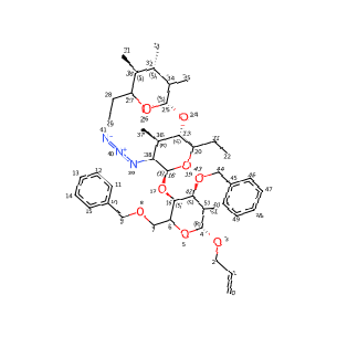 C=CCO[C@@H]1OC(COCc2ccccc2)[C@@H](O[C@@H]2OC(CC)[C@@H](O[C@@H]3OC(CC)[C@@H](C)[C@H](C)C3C)[C@H](C)C2N=[N+]=[N-])[C@@H](OCc2ccccc2)C1C